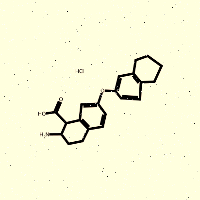 Cl.NC1CCc2ccc(Oc3ccc4c(c3)CCCC4)cc2C1C(=O)O